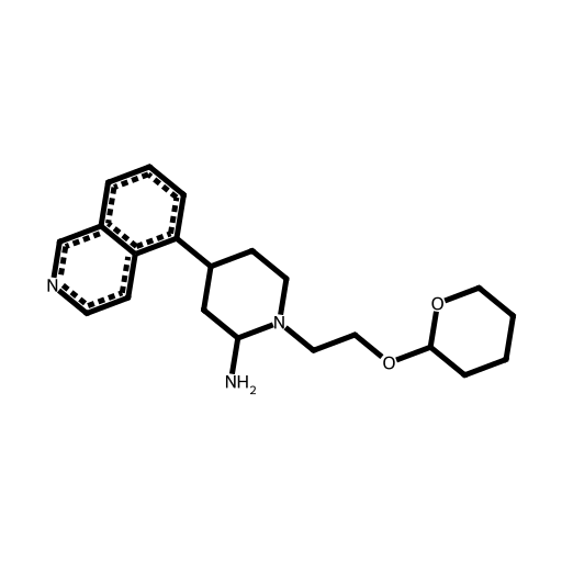 NC1CC(c2cccc3cnccc23)CCN1CCOC1CCCCO1